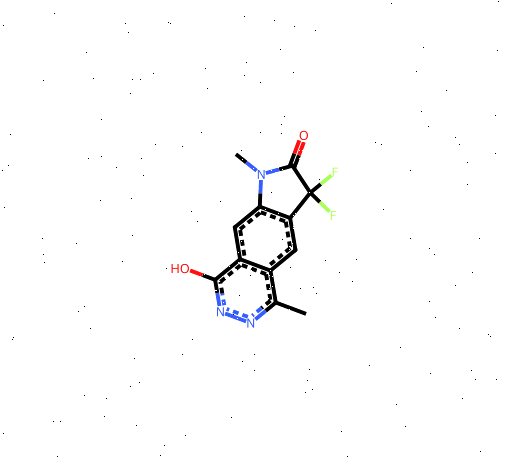 Cc1nnc(O)c2cc3c(cc12)C(F)(F)C(=O)N3C